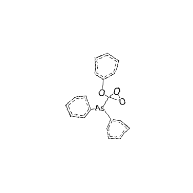 c1ccc(OC2([As](c3ccccc3)c3ccccc3)OO2)cc1